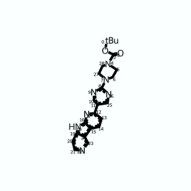 CC(C)(C)OC(=O)N1CCN(c2ncc(-c3ccc4c(n3)[nH]c3ccncc34)cn2)CC1